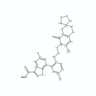 COC(=O)c1csc2c(-c3cc(Cl)ccc3OCCn3c(C(F)(F)F)nc4c(c3=O)CC3(CC4)OCCO3)cc(C)nc12